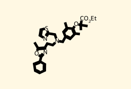 CCOC(=O)C(C)(C)Oc1c(C)cc(CN(CCc2nc(-c3ccccc3)oc2C)Cc2nccs2)cc1C